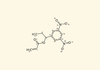 C=CC(=O)OC(CC)c1cc([N+](=O)[O-])cc([N+](=O)[O-])c1